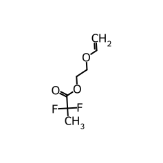 C=COCCOC(=O)C(C)(F)F